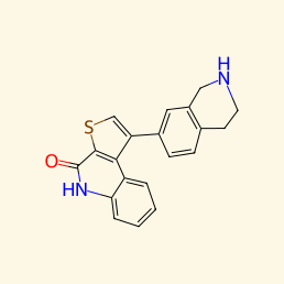 O=c1[nH]c2ccccc2c2c(-c3ccc4c(c3)CNCC4)csc12